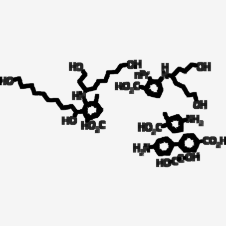 CCCc1c(NC(CCCO)CCCCO)cccc1C(=O)O.Cc1cc(N)ccc1C(=O)O.Cc1ccc(C(=O)O)c(C(O)CCCCCCCCCO)c1NC(CCO)CCCCCCO.Nc1ccc(-c2ccc(C(=O)O)cc2)cc1.OCCO